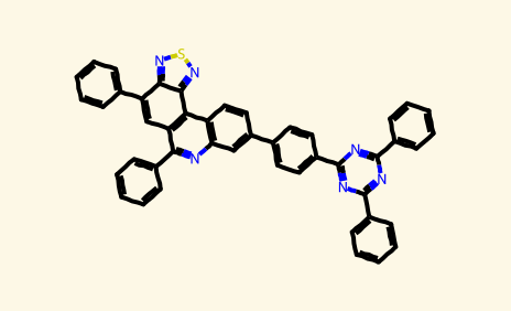 c1ccc(-c2nc(-c3ccccc3)nc(-c3ccc(-c4ccc5c(c4)nc(-c4ccccc4)c4cc(-c6ccccc6)c6nsnc6c45)cc3)n2)cc1